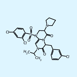 CC(C)N1C=C2N(C(=O)C(N3CCCC3)CN2S(=O)(=O)c2ccc(Cl)cc2Cl)C(Cc2cccc(Cl)c2)C1=O